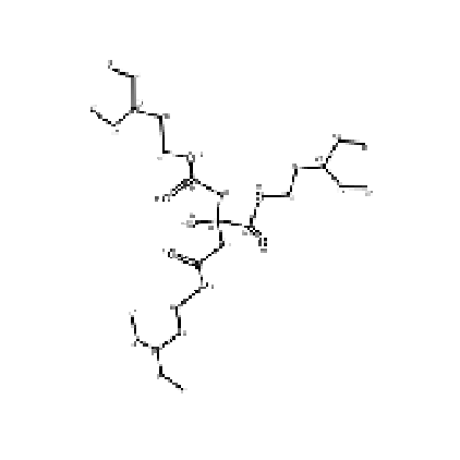 CCC(CC)CCOC(=O)CC(O)(CC(=O)OCCC(CC)CC)C(=O)OCCC(CC)CC